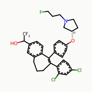 OC(c1ccc2c(c1)CCCC(c1ccc(Cl)cc1Cl)=C2c1ccc(O[C@H]2CCN(CCCF)C2)cc1)C(F)(F)F